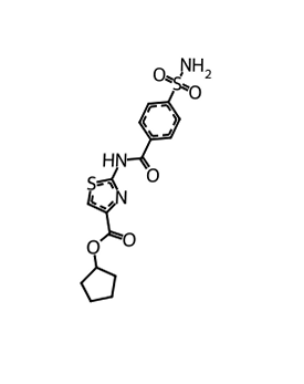 NS(=O)(=O)c1ccc(C(=O)Nc2nc(C(=O)OC3CCCC3)cs2)cc1